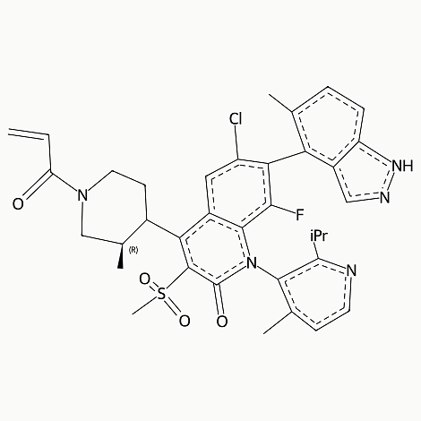 C=CC(=O)N1CCC(c2c(S(C)(=O)=O)c(=O)n(-c3c(C)ccnc3C(C)C)c3c(F)c(-c4c(C)ccc5[nH]ncc45)c(Cl)cc23)[C@@H](C)C1